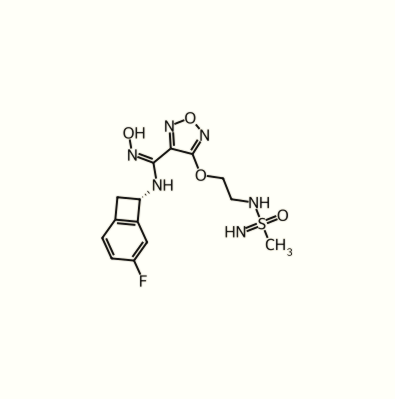 CS(=N)(=O)NCCOc1nonc1/C(=N\O)N[C@H]1Cc2ccc(F)cc21